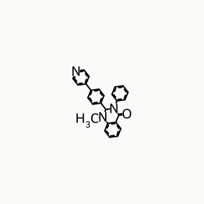 CN1c2ccccc2C(=O)N(c2ccccc2)C1c1ccc(-c2ccncc2)cc1